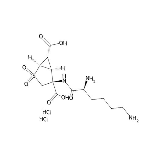 Cl.Cl.NCCCC[C@H](N)C(=O)N[C@@]1(C(=O)O)CS(=O)(=O)[C@H]2[C@H](C(=O)O)[C@H]21